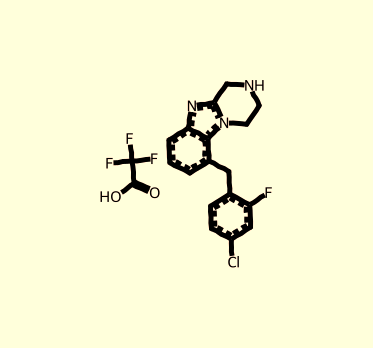 Fc1cc(Cl)ccc1Cc1cccc2nc3n(c12)CCNC3.O=C(O)C(F)(F)F